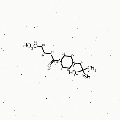 CC(C)(S)CN1CCN(C(=O)CCCC(=O)O)CC1